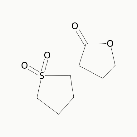 O=C1CCCO1.O=S1(=O)CCCC1